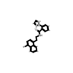 O=C(NCCc1ccc(F)c2ccccc12)c1ccccc1-n1nccn1